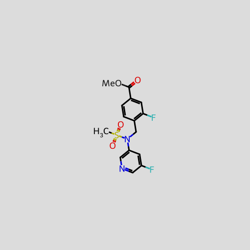 COC(=O)c1ccc(CN(c2cncc(F)c2)S(C)(=O)=O)c(F)c1